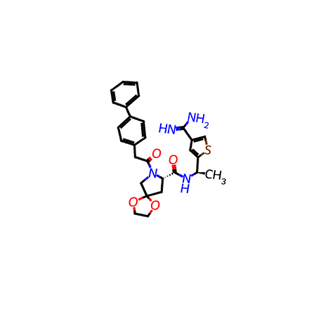 C[C@@H](NC(=O)[C@@H]1CC2(CN1C(=O)Cc1ccc(-c3ccccc3)cc1)OCCO2)c1cc(C(=N)N)cs1